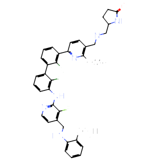 COc1nc(-c2cccc(-c3cccc(Nc4nccc(CNc5ccccc5C(=O)O)c4F)c3Cl)c2Cl)ccc1CNCC1CCC(=O)N1